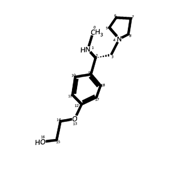 CN[C@H](CN1CCCC1)c1ccc(OCCO)cc1